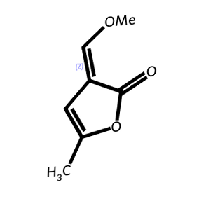 CO/C=C1/C=C(C)OC1=O